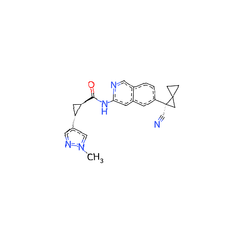 Cn1cc([C@@H]2C[C@H]2C(=O)Nc2cc3cc([C@]4(C#N)CC45CC5)ccc3cn2)cn1